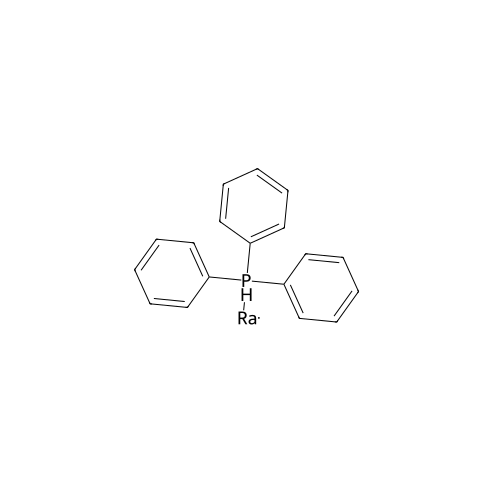 [Ra][PH](c1ccccc1)(c1ccccc1)c1ccccc1